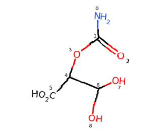 NC(=O)OC(C(=O)O)C(O)O